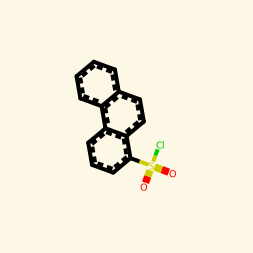 O=S(=O)(Cl)c1cccc2c1ccc1ccccc12